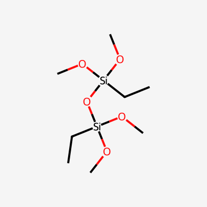 CC[Si](OC)(OC)O[Si](CC)(OC)OC